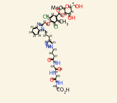 CO[C@H]1O[C@H](CO)C[C@H](O)[C@H]1OC(=O)c1cc(Cl)c(OCc2nc3ccccc3n2CCCc2cn(CCCC(=O)NCC(=O)NCC(=O)NCC(=O)O)nn2)c(Cl)c1C